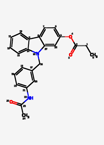 CCC(=O)Oc1ccc2c3ccccc3n(Cc3cccc(NC(C)=O)c3)c2c1